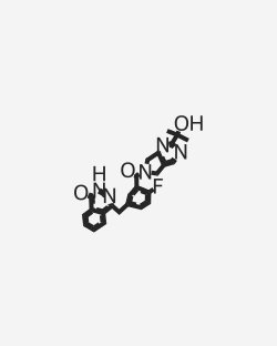 CC(C)(O)c1ncc2c(n1)CN(C(=O)c1cc(Cc3n[nH]c(=O)c4ccccc34)ccc1F)C2